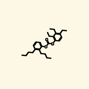 CCCCc1cccc(OC(=O)Oc2ccc(CC)c(CC)c2CC)c1CCCC